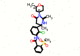 C=C1N[C@](C)(c2cccc(NC(=O)c3ccccc3S(C)(=O)=O)c2Cl)CC(=O)N1[C@@H]1CCO[C@H](C)C1